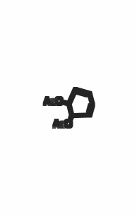 CC(=O)OC1C=CC=CC1OC(C)=O